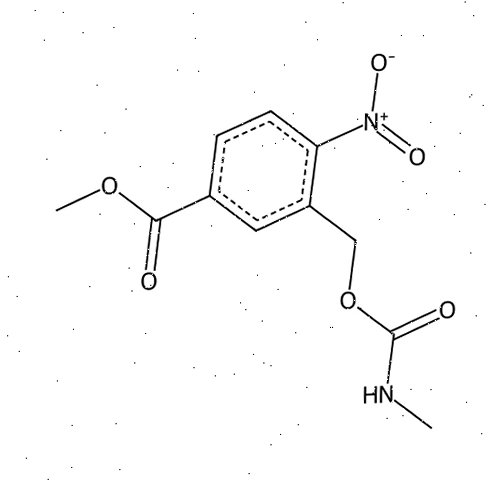 CNC(=O)OCc1cc(C(=O)OC)ccc1[N+](=O)[O-]